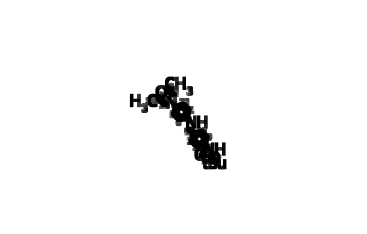 C[C@@H]1CN(c2ccc(NCc3ccc(NS(=O)(=O)C(C)(C)C)cc3)cc2)C[C@@H](C)O1